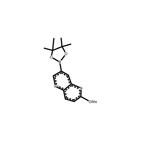 COc1ccc2ncc(B3OC(C)(C)C(C)(C)O3)cc2n1